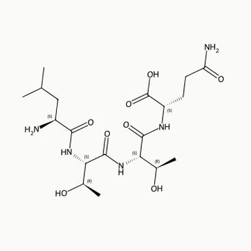 CC(C)C[C@H](N)C(=O)N[C@H](C(=O)N[C@H](C(=O)N[C@@H](CCC(N)=O)C(=O)O)[C@@H](C)O)[C@@H](C)O